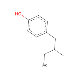 CC(=O)CC(C)Cc1ccc(O)cc1